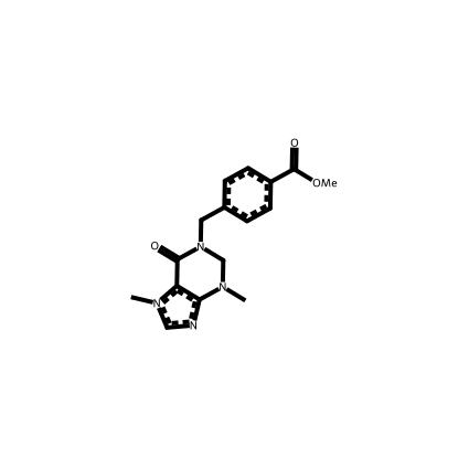 COC(=O)c1ccc(CN2CN(C)c3ncn(C)c3C2=O)cc1